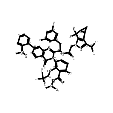 C[S+]([O-])NC(=N)c1c(Cl)ccc(-n2c(C(Cc3cc(F)cc(F)c3)NC(=O)Cn3nc(C(F)F)c4c3C(F)(F)C3CC43)nc3cc(-c4ccccc4[S+](C)[O-])ccc3c2=O)c1NCC(F)(F)F